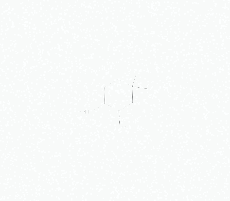 O=CC1CCC(F)(F)CC1C(=O)O